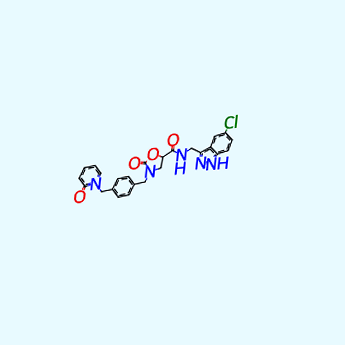 O=C(NCc1n[nH]c2ccc(Cl)cc12)C1CN(Cc2ccc(Cn3ccccc3=O)cc2)C(=O)O1